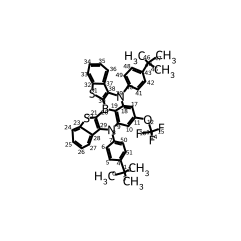 CC(C)(C)c1ccc(N2c3cc(OC(F)(F)F)cc4c3B(c3sc5ccccc5c32)c2sc3ccccc3c2N4c2ccc(C(C)(C)C)cc2)cc1